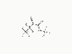 CC(C)(C)OC(=O)C(=O)S(C)(C)C(C)(C)C